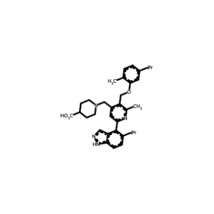 Cc1ccc(C(C)C)cc1OCc1c(CN2CCC(C(=O)O)CC2)cc(-c2c(C(C)C)ccc3[nH]ncc23)nc1C